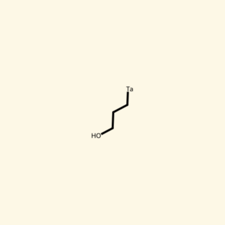 OCC[CH2][Ta]